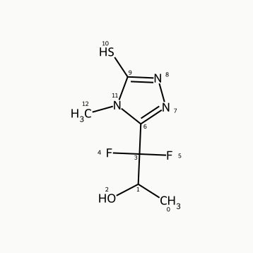 CC(O)C(F)(F)c1nnc(S)n1C